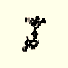 Cc1cc(Cl)n2ncnc(N3CC(CCN(C4CC4)S(N)(=O)=O)C3)c12